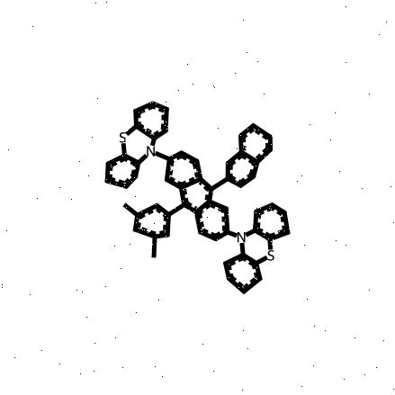 Cc1cc(C)cc(-c2c3ccc(N4c5ccccc5Sc5ccccc54)cc3c(-c3ccc4ccccc4c3)c3ccc(N4c5ccccc5Sc5ccccc54)cc23)c1